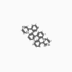 c1ccc(-c2ccccc2-c2ccccc2-c2ccccc2-c2cnccn2)c(-c2cnccn2)c1